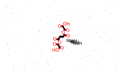 O=C(/C=C/C(=O)OC(=O)C(=O)O)OC(=O)C(=O)O.[NaH].[NaH].[NaH].[NaH]